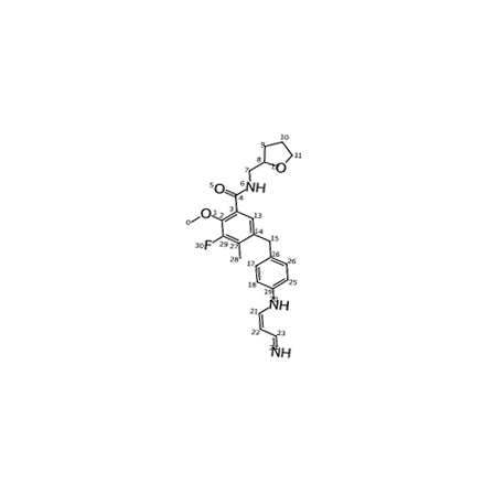 COc1c(C(=O)NCC2CCCO2)cc(Cc2ccc(N/C=C\C=N)cc2)c(C)c1F